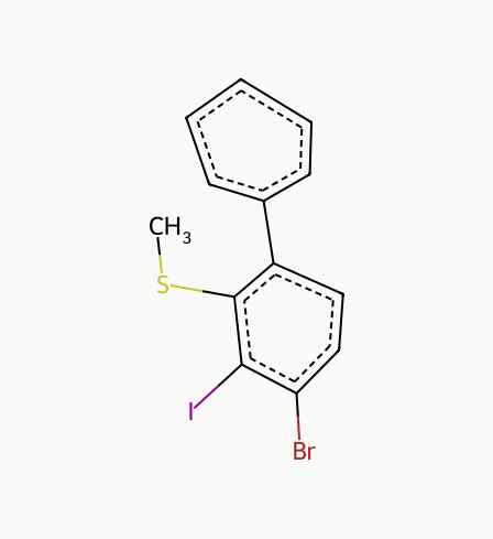 CSc1c(-c2ccccc2)ccc(Br)c1I